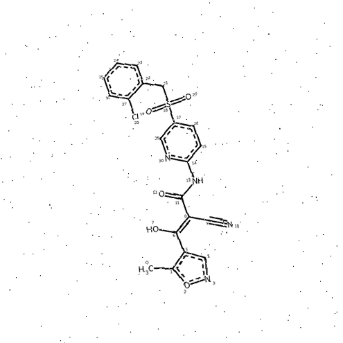 Cc1oncc1/C(O)=C(\C#N)C(=O)Nc1ccc(S(=O)(=O)Cc2ccccc2Cl)cn1